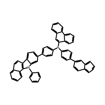 c1ccc(-n2c3cc(-c4ccc(N(c5ccc(-c6ccc7ccccc7c6)cc5)c5cc6ccccc6c6ccccc56)cc4)ccc3c3ccc4ccccc4c32)cc1